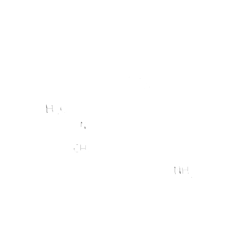 CN(C)c1ccc2cccc(N)c2c1